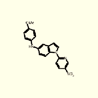 COc1ccc(Nc2ccc3c(ccn3-c3ccc([N+](=O)[O-])cn3)c2)cc1